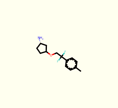 Cc1ccc(C(F)(F)COC2CC[C@H](N)C2)cc1